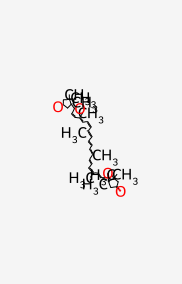 CC(=C/C=C/C(C)=C/C=C/C=C(C)/C=C\C=C(C)\C=C/C(=O)C1(C)CC(=O)CC1(C)C)/C=C/C(=O)C1(C)CC(=O)CC1(C)C